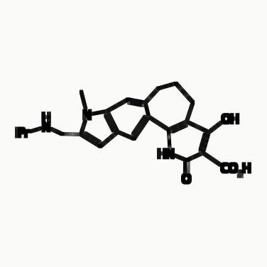 CC(C)NCc1cc2cc3c(cc2n1C)CCCc1c-3[nH]c(=O)c(C(=O)O)c1O